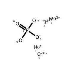 O=P([O-])([O-])[O-].[Cr+3].[Mn+2].[Na+].[Ti+4]